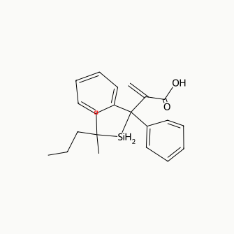 C=C(C(=O)O)C([SiH2]C(C)(C)CCC)(c1ccccc1)c1ccccc1